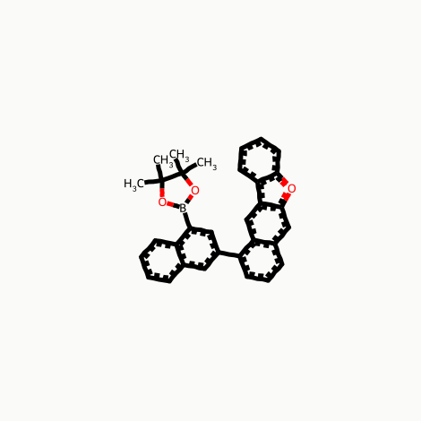 CC1(C)OB(c2cc(-c3cccc4cc5oc6ccccc6c5cc34)cc3ccccc23)OC1(C)C